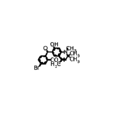 CC1=CC(C)(C)N(C)c2cc(O)c(C(=O)c3ccc(Br)cc3C(=O)O)cc21